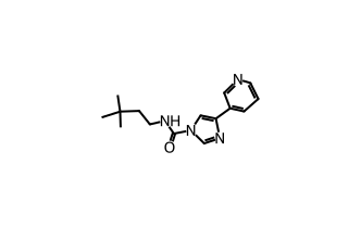 CC(C)(C)CCNC(=O)n1cnc(-c2cccnc2)c1